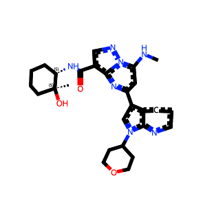 CNc1cc(-c2cn(C3CCOCC3)c3ncccc23)nc2c(C(=O)N[C@H]3CCCC[C@]3(C)O)cnn12